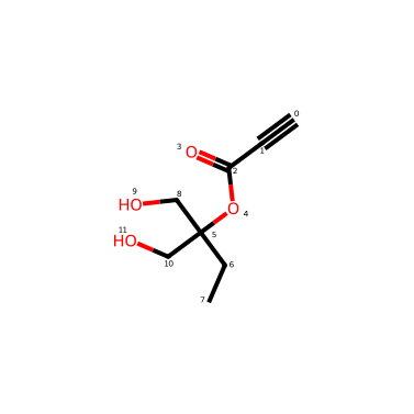 C#CC(=O)OC(CC)(CO)CO